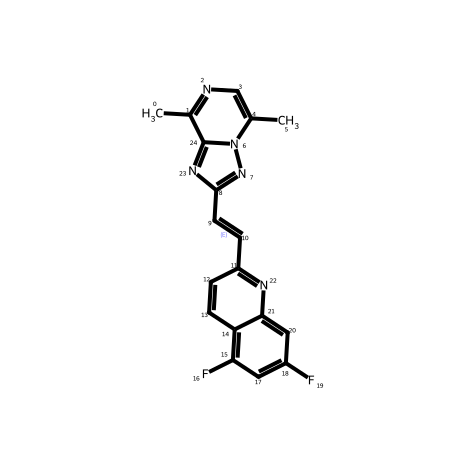 Cc1ncc(C)n2nc(/C=C/c3ccc4c(F)cc(F)cc4n3)nc12